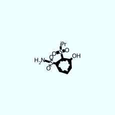 CC(C)S(=O)(=O)c1c(O)cccc1S(N)(=O)=O